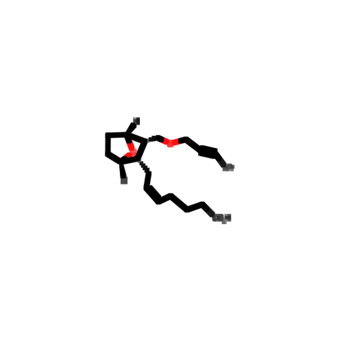 CCCC#CCOC[C@@H]1[C@H](C/C=C\CCCC(=O)O)[C@@H]2CC[C@H]1O2